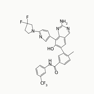 Cc1ccc(C(=O)Nc2cccc(C(F)(F)F)c2)cc1-c1cc2cnc(N)nc2c(-c2ccc(N3CCC(F)(F)C3)nc2)c1O